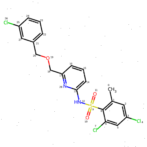 Cc1cc(Cl)cc(Cl)c1S(=O)(=O)Nc1cccc(COCc2cccc(Cl)c2)n1